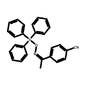 CC(=NO[Si](c1ccccc1)(c1ccccc1)c1ccccc1)c1ccc(C#N)cc1